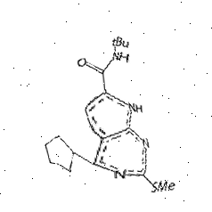 CSc1nc(C2CCCC2)c2cc(C(=O)NC(C)(C)C)[nH]c2n1